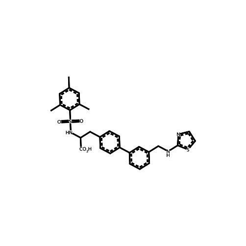 Cc1cc(C)c(S(=O)(=O)NC(Cc2ccc(-c3cccc(CNc4nccs4)c3)cc2)C(=O)O)c(C)c1